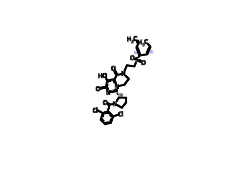 C=C/C=C(\C=C/C)S(=O)(=O)CCN1CCn2c([C@@H]3CCCN3C(=O)c3c(Cl)cccc3Cl)nc(=O)c(O)c2C1=O